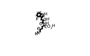 [N-]=[N+]=CC(=O)CCC(NC(=O)C(O)Cc1c[nH]c2cccc(F)c12)C(=O)O